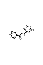 O=C(CCC1CNCCO1)C1CNCCO1